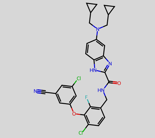 N#Cc1cc(Cl)cc(Oc2c(Cl)ccc(CNC(=O)c3nc4cc(N(CC5CC5)CC5CC5)ccc4[nH]3)c2F)c1